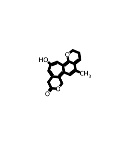 Cc1cc2c(c3c1=CCCO3)C=C(O)C=C1CC(=O)OCC=21